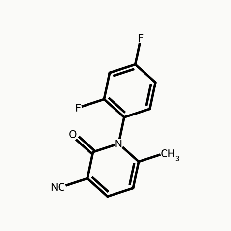 Cc1ccc(C#N)c(=O)n1-c1ccc(F)cc1F